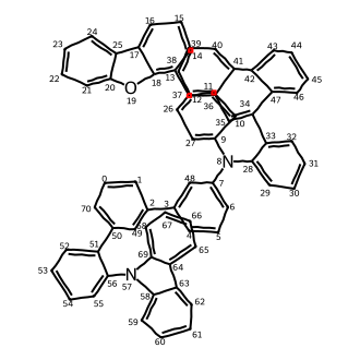 c1cc(-c2cccc(N(c3ccc(-c4cccc5c4oc4ccccc45)cc3)c3ccccc3-c3cc4ccccc4c4ccccc34)c2)cc(-c2ccccc2-n2c3ccccc3c3ccccc32)c1